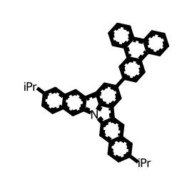 CC(C)c1ccc2cc3c(cc2c1)c1cc(-c2ccc4c5ccccc5c5ccccc5c4c2)cc2c4cc5cc(C(C)C)ccc5cc4n3c12